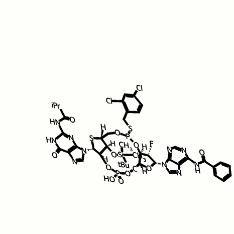 CC(C)C(=O)Nc1nc2c(ncn2[C@@H]2S[C@@H]3COP(SCc4ccc(Cl)cc4Cl)O[C@H]4[C@H](F)[C@H](n5cnc6c(NC(=O)c7ccccc7)ncnc65)O[C@@H]4COP(=O)(O)O[C@@H]2[C@@H]3O[Si](C)(C)C(C)(C)C)c(=O)[nH]1